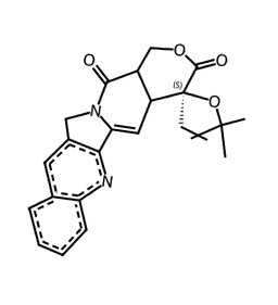 CC[C@@]1(OC(C)(C)C)C(=O)OCC2C(=O)N3Cc4cc5ccccc5nc4C3=CC21